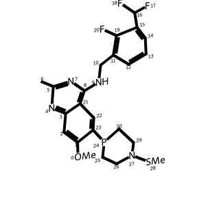 COc1cc2nc(C)nc(NCc3cccc(C(F)F)c3F)c2cc1P1CCN(SC)CC1